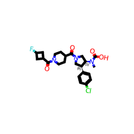 CN(C(=O)O)[C@@H]1CN(C(=O)C2CCN(C(=O)C3CC(F)C3)CC2)C[C@H]1c1ccc(Cl)cc1